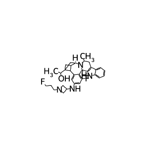 C[C@H](O)C12CC3C1c1cc(NC4CN(CCCF)C4)cc(F)c1[C@H]1c4[nH]c5ccccc5c4C[C@H](C)N1[C@@H]3C2